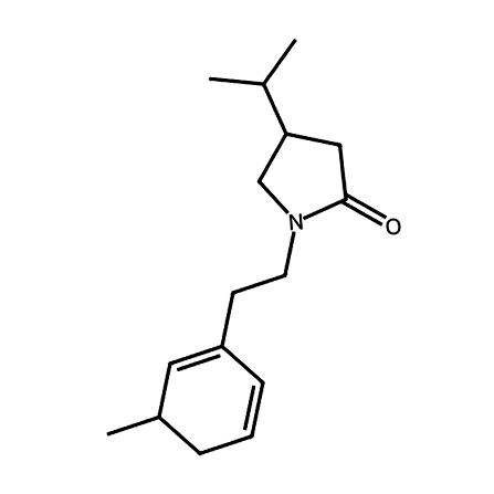 CC1C=C(CCN2CC(C(C)C)CC2=O)C=CC1